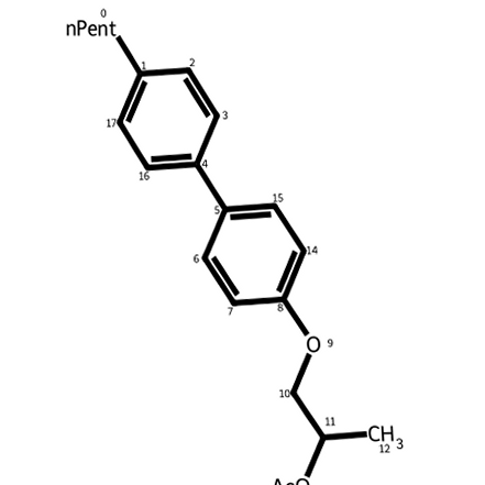 CCCCCc1ccc(-c2ccc(OCC(C)OC(C)=O)cc2)cc1